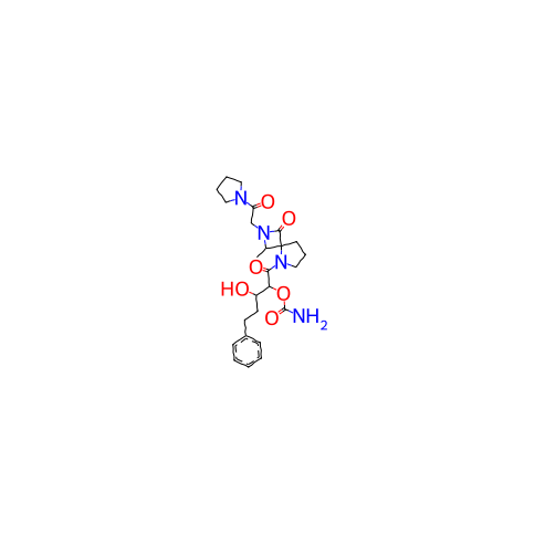 CC1N(CC(=O)N2CCCC2)C(=O)C12CCCN2C(=O)C(OC(N)=O)C(O)CCc1ccccc1